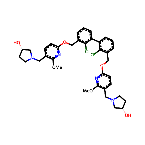 COc1nc(OCc2cccc(-c3cccc(COc4ccc(CN5CC[C@H](O)C5)c(OC)n4)c3Cl)c2Cl)ccc1CN1CC[C@H](O)C1